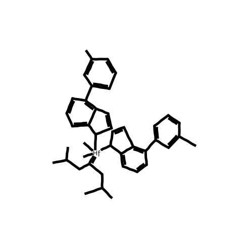 Cc1cccc(-c2cccc3c2C=C[CH]3[Hf]([CH3])([CH3])(=[C](CC(C)C)CC(C)C)[CH]2C=Cc3c(-c4cccc(C)c4)cccc32)c1